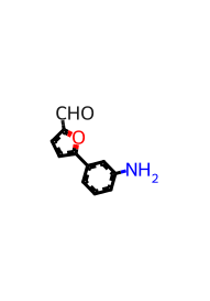 Nc1cccc(-c2ccc(C=O)o2)c1